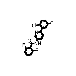 O=C(Nc1ccc(-c2cc(F)ccc2Cl)nc1)c1c(F)cccc1F